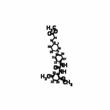 COC(=O)CC[C@H]1CC[C@H](c2ccc(NC(=O)Nc3cc(C)ccc3OC)cc2)CC1